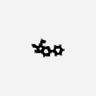 CCCn1c(=O)[nH]c2cnc(-c3ccccc3)nc21